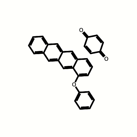 O=C1C=CC(=O)C=C1.c1ccc(Oc2cccc3cc4cc5ccccc5cc4cc23)cc1